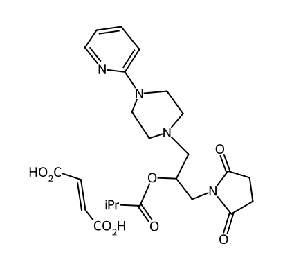 CC(C)C(=O)OC(CN1CCN(c2ccccn2)CC1)CN1C(=O)CCC1=O.O=C(O)C=CC(=O)O